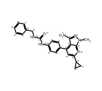 Cn1nc(N)c2c(-c3ccc(NC(=O)NCc4ccccc4)cc3)cc(C3CC3)nc21